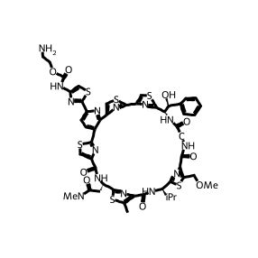 CNC(=O)C[C@@H]1NC(=O)c2csc(n2)-c2ccc(-c3nc(NC(=O)OCCN)cs3)nc2-c2csc(n2)-c2csc(n2)[C@H]([C@@H](O)c2ccccc2)NC(=O)CNC(=O)c2nc(sc2COC)[C@@H](C(C)C)NC(=O)c2nc1sc2C